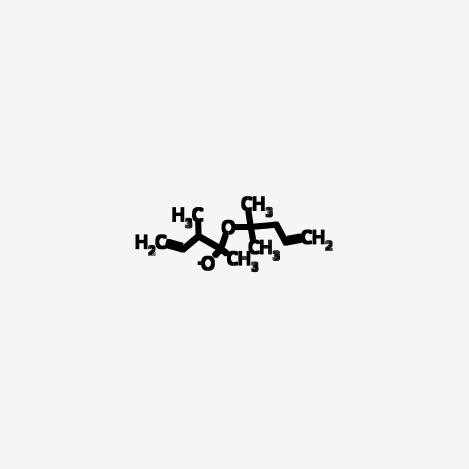 C=CCC(C)(C)OC(C)([O])C(C)C=C